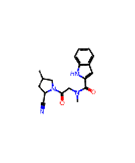 CC1CC(C#N)N(C(=O)CN(C)C(=O)c2cc3ccccc3[nH]2)C1